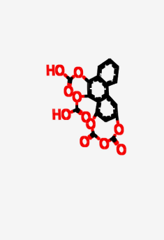 O=C(O)Oc1c(OC(=O)O)c2c3cc(cc2c2ccccc12)OC(=O)OC(=O)O3